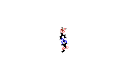 CCOC(=O)c1cnc(N2CCC(COS(C)(=O)=O)CC2)nc1